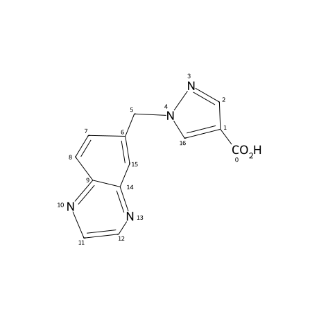 O=C(O)c1cnn(Cc2ccc3nccnc3c2)c1